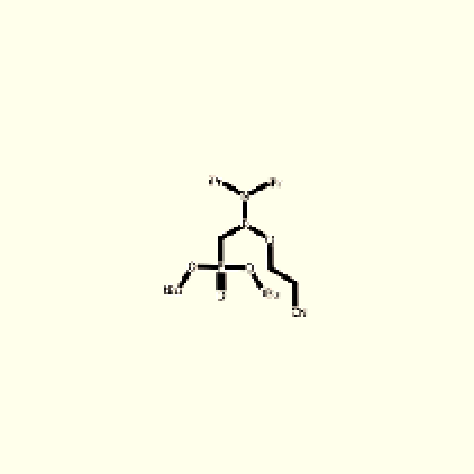 CC(C)N(C(C)C)P(CP(=O)(OC(C)(C)C)OC(C)(C)C)OCCC#N